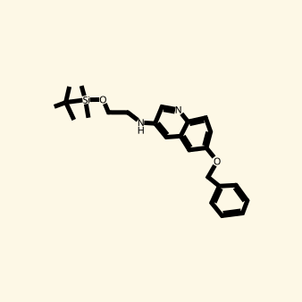 CC(C)(C)[Si](C)(C)OCCNc1cnc2ccc(OCc3ccccc3)cc2c1